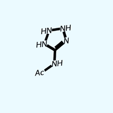 CC(=O)NC1=NNNN1